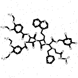 CCOc1ccc(C(=O)OC2C(=O)N(C3C(=O)N(C(C(=O)OCc4cc(Cl)c(Cl)cc4Cl)[C@@H](CCC(=O)N[N+](=O)[O-])Cc4ccccc4)C3CCc3ccnc4ccccc34)C(=O)C2OC(=O)c2ccc(OCC)c(OCC)c2)cc1OCC